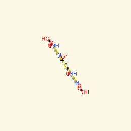 O=C(NCSCSC/N=C/[S+]([O-])CCSCSCCSC(=O)NCSCSC/N=C/OOCCO)OCCO